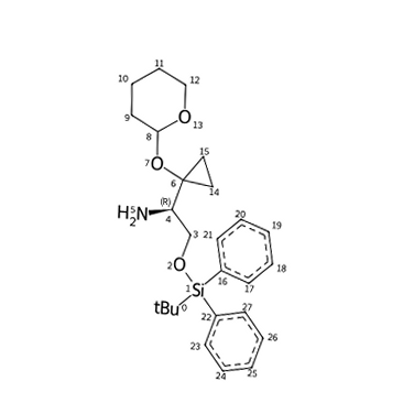 CC(C)(C)[Si](OC[C@@H](N)C1(OC2CCCCO2)CC1)(c1ccccc1)c1ccccc1